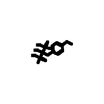 COc1cc[n+](CC(O)(P(C)(=O)O)P(=O)(O)O)cc1